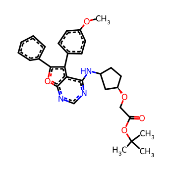 COc1ccc(-c2c(-c3ccccc3)oc3ncnc(NC4CC[C@@H](OCC(=O)OC(C)(C)C)C4)c23)cc1